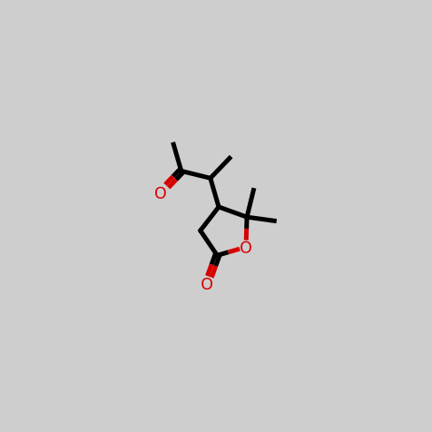 CC(=O)C(C)C1CC(=O)OC1(C)C